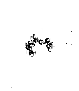 O=C1CCN(c2cnccc2CN2CCC(n3cc(NC(=O)c4cnn5ccc(N6C[C@H]7C[C@@H]6CO7)nc45)c(C(F)F)n3)CC2)C(=O)N1